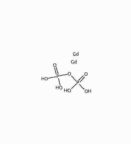 O=P(O)(O)OP(=O)(O)O.[Gd].[Gd]